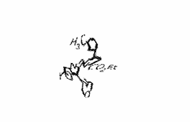 CCOC(=O)c1cc(-c2cccc(C)c2)nn1-c1cc(N2CCOCC2)c2oc(I)cc2n1